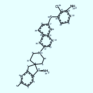 Cc1ccc2c(n1)CC1(CCN(c3cnc4nc(Sc5ccnc(N)c5Cl)ccc4n3)CC1)[C@H]2N